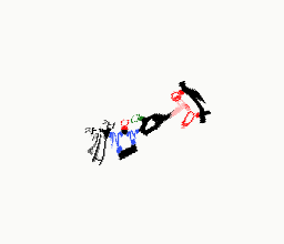 [2H]C([2H])([2H])n1ccn(-c2ccc(B3OC(C)(C)C(C)(C)O3)cc2Cl)c1=O